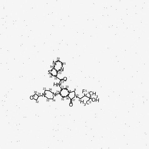 CC(C)(O)C(F)CN1Cc2cc(NC(=O)c3csc4nccnc34)c(N3CCN(C4COC4)CC3)cc2C1=O